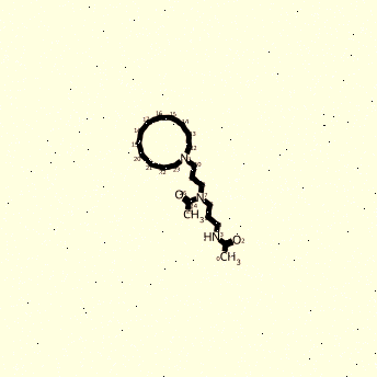 CC(=O)NCCCN(CCCN1CCCCCCCCCCCC1)C(C)=O